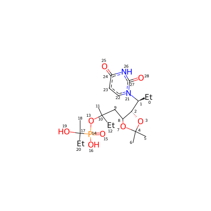 CC[C@@H]([C@@H]1OC(C)(C)OC1CC(C)(CC)OP(=O)(O)C(C)(O)CC)n1ccc(=O)[nH]c1=O